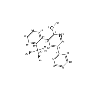 COc1ncc(-c2ccccc2)cc1-c1ccccc1C(F)(F)F